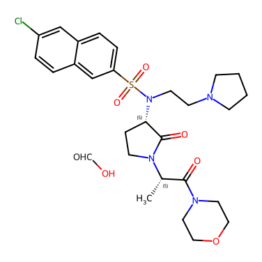 C[C@@H](C(=O)N1CCOCC1)N1CC[C@H](N(CCN2CCCC2)S(=O)(=O)c2ccc3cc(Cl)ccc3c2)C1=O.O=CO